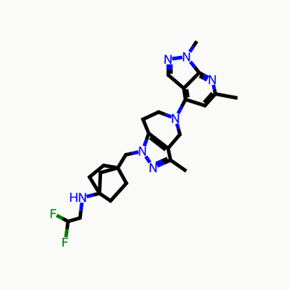 Cc1cc(N2CCc3c(c(C)nn3CC34CCC(NCC(F)F)(CC3)C4)C2)c2cnn(C)c2n1